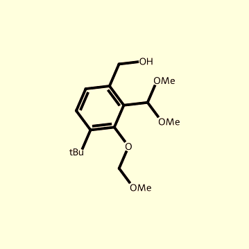 COCOc1c(C(C)(C)C)ccc(CO)c1C(OC)OC